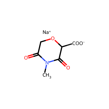 CN1C(=O)COC(C(=O)[O-])C1=O.[Na+]